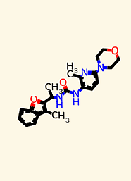 Cc1nc(N2CCOCC2)ccc1NC(=O)NC(C)c1oc2ccccc2c1C